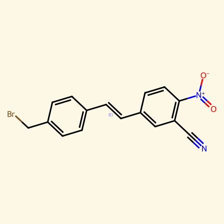 N#Cc1cc(/C=C/c2ccc(CBr)cc2)ccc1[N+](=O)[O-]